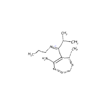 CCC/N=C(\C1=C(N)N=C=CN=C1C)C(C)C